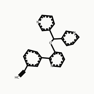 C#Cc1cccc(-c2ncccc2OC(c2cccnc2)c2cccnc2)c1